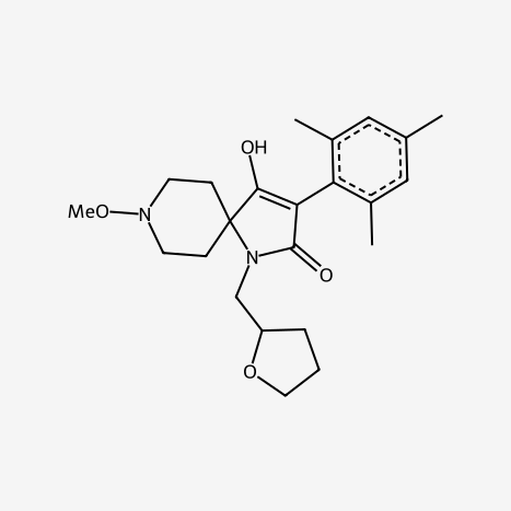 CON1CCC2(CC1)C(O)=C(c1c(C)cc(C)cc1C)C(=O)N2CC1CCCO1